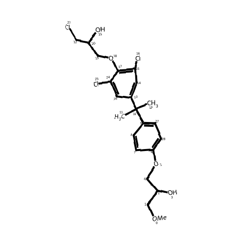 COCC(O)COc1ccc(C(C)(C)c2cc(Cl)c(OCC(O)CCl)c(Cl)c2)cc1